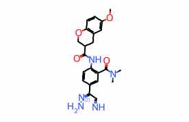 COc1ccc2c(c1)CC(C(=O)Nc1ccc(/C(C=N)=N/N)cc1C(=O)N(C)C)CO2